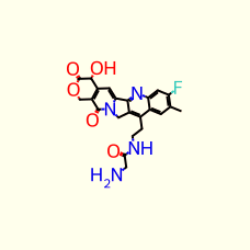 Cc1cc2c(CCNC(=O)CN)c3c(nc2cc1F)-c1cc2c(c(=O)n1C3)COC(=O)[C@H]2O